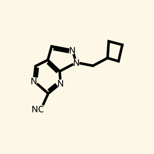 N#Cc1ncc2cnn(CC3CCC3)c2n1